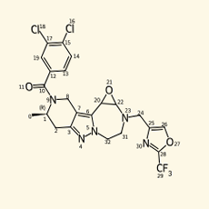 C[C@@H]1Cc2nn3c(c2CN1C(=O)c1ccc(Cl)c(Cl)c1)C1OC1N(Cc1coc(C(F)(F)F)n1)CC3